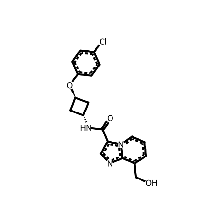 O=C(N[C@H]1C[C@H](Oc2ccc(Cl)cc2)C1)c1cnc2c(CO)cccn12